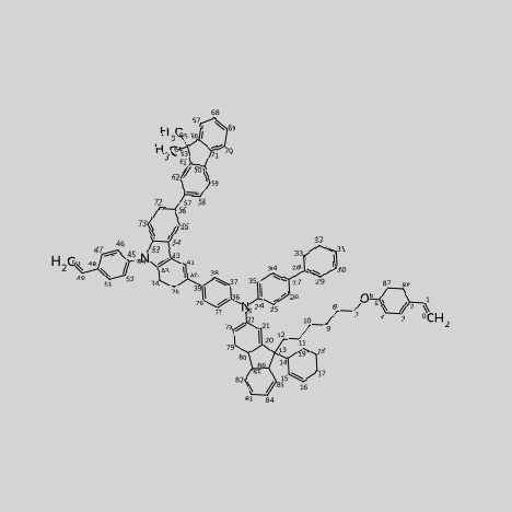 C=CC1=CC=C(OCCCCCCC2(C3C=CCCC3)C3=CC(N(c4ccc(C5=CC=CCC5)cc4)c4ccc(C5=Cc6c(n(-c7ccc(C=C)cc7)c7c6=CC(c6ccc8c(c6)C(C)(C)c6ccccc6-8)CC=7)CC5)cc4)=CCC3C3C=CC=CC32)CC1